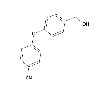 N#Cc1ccc(Oc2ccc(CO)cc2)cc1